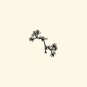 N#CCCOP(=O)(OCCCCCCOP(=O)(O)OCC(O)COCC(CCCNC(=O)C(F)(F)F)(CCCNC(=O)C(F)(F)F)CCNC(=O)C(F)(F)F)OC(CO)COCC(CCCNC(=O)C(F)(F)F)(CCCNC(=O)C(F)(F)F)CCNC(=O)C(F)(F)F